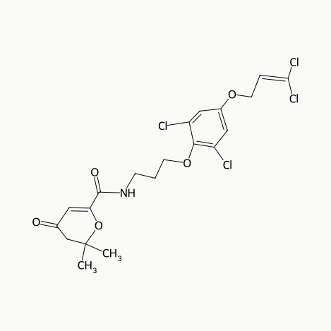 CC1(C)CC(=O)C=C(C(=O)NCCCOc2c(Cl)cc(OCC=C(Cl)Cl)cc2Cl)O1